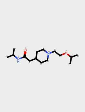 CC(C)NC(=O)CC1CCN(CCOC(C)C)CC1